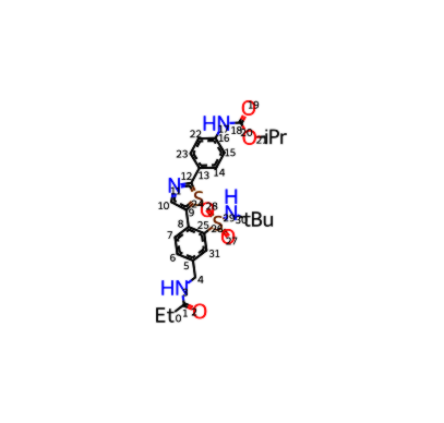 CCC(=O)NCc1ccc(-c2cnc(-c3ccc(NC(=O)OC(C)C)cc3)s2)c(S(=O)(=O)NC(C)(C)C)c1